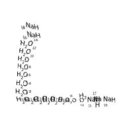 O.O.O.O.O.O.O.O.O.O.O.O.O.O.O.[NaH].[NaH].[NaH].[NaH].[NaH]